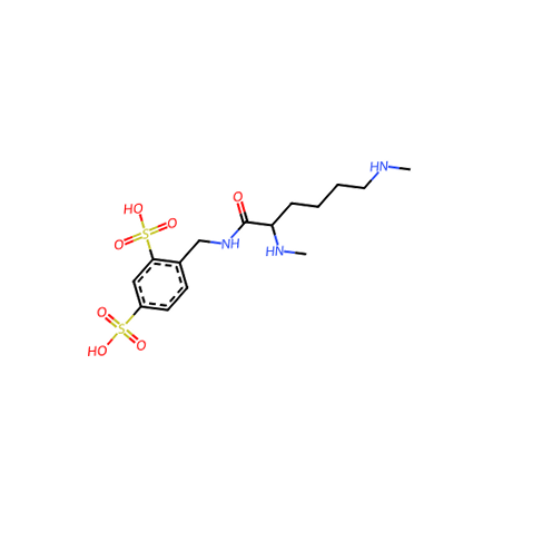 CNCCCCC(NC)C(=O)NCc1ccc(S(=O)(=O)O)cc1S(=O)(=O)O